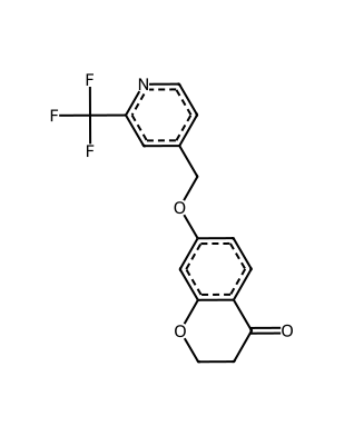 O=C1CCOc2cc(OCc3ccnc(C(F)(F)F)c3)ccc21